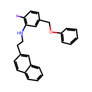 Ic1ccc(COc2ccccc2)cc1NCCc1ccc2ccccc2c1